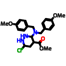 COC(=O)C1CC(Cl)NNC1N(Cc1ccc(OC)cc1)Cc1ccc(OC)cc1